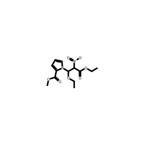 CCOC(=O)C(C(OCC)n1cccc1C(=O)OC)[N+](=O)[O-]